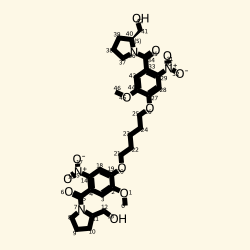 COc1cc(C(=O)N2CCCC2CO)c([N+](=O)[O-])cc1OCCCCCOc1cc([N+](=O)[O-])c(C(=O)N2CCC[C@H]2CO)cc1OC